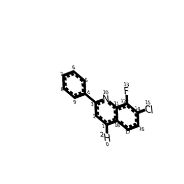 [2H]c1cc(-c2ccccc2)nc2c(F)c(Cl)ccc12